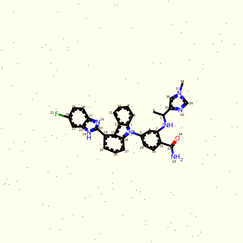 CC(Nc1cc(-n2c3ccccc3c3c(-c4nc5ccc(F)cc5[nH]4)cccc32)ccc1C(N)=O)c1cn(C)cn1